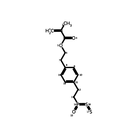 C=C(C)C(=O)OCCc1ccc(CCP(=O)=S=S)cc1